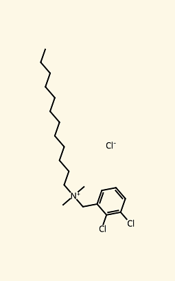 CCCCCCCCCCCC[N+](C)(C)Cc1cccc(Cl)c1Cl.[Cl-]